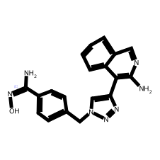 N/C(=N/O)c1ccc(Cn2cc(-c3c(N)ncc4ccccc34)nn2)cc1